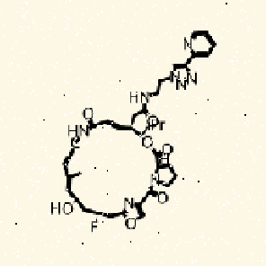 CC1=C\[C@@H](O)C[C@@H](F)Cc2nc(co2)C(=O)N2CCC[C@@H]2C(=O)O[C@H](C(C)C)[C@H](CC(=O)NCCn2cc(-c3ccccn3)nn2)/C=C/C(=O)NC\C=C\1